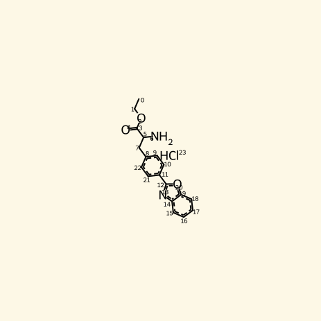 CCOC(=O)C(N)Cc1ccc(-c2nc3ccccc3o2)cc1.Cl